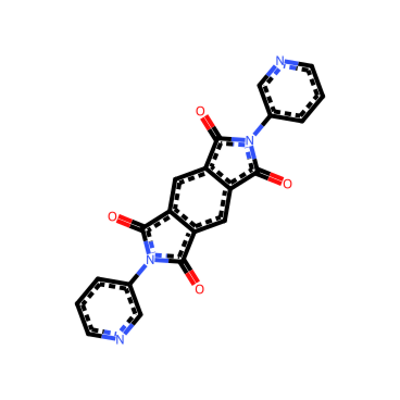 O=c1c2cc3c(=O)n(-c4cccnc4)c(=O)c3cc2c(=O)n1-c1cccnc1